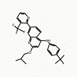 CC(C)COc1cc(Nc2ccc(C(C)(C)C)cc2)c2ccc(-c3ncccc3C(F)(F)F)cc2n1